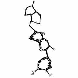 CCc1cc(-c2nc3cc(CC4CCC5C(C)CCC45)[nH]c3cc2F)ccc1C(C)C